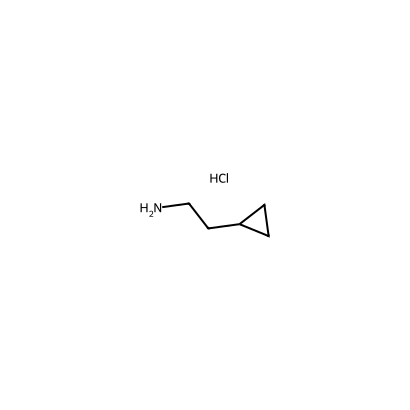 Cl.NCCC1CC1